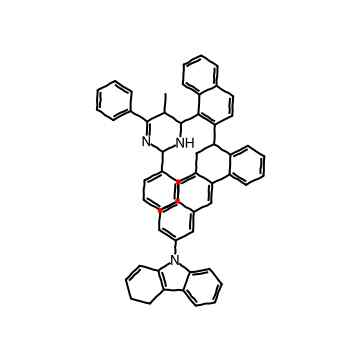 CC1C(c2ccccc2)=NC(c2ccccc2)NC1c1c(C2Cc3cc4ccc(-n5c6c(c7ccccc75)CCC=C6)cc4cc3-c3ccccc32)ccc2ccccc12